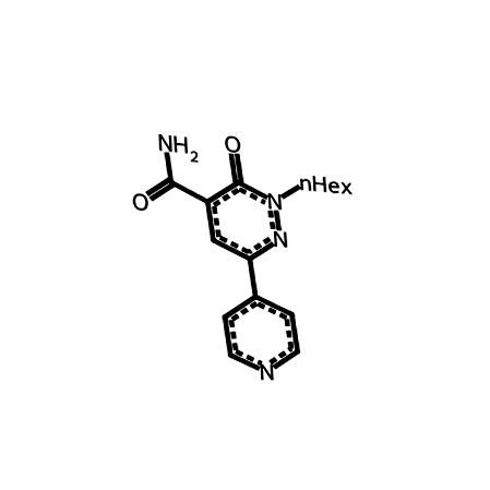 CCCCCCn1nc(-c2ccncc2)cc(C(N)=O)c1=O